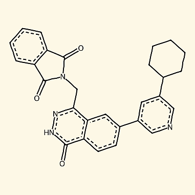 O=C1c2ccccc2C(=O)N1Cc1n[nH]c(=O)c2ccc(-c3cncc(C4CCCCC4)c3)cc12